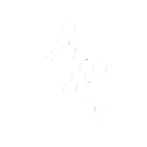 C[C@H](NC(=O)c1c(NS(N)(=O)=O)nn2cccnc12)C1=Cc2cccc(C#Cc3cnn(C)c3)c2S(=O)(=O)N1c1ccccc1